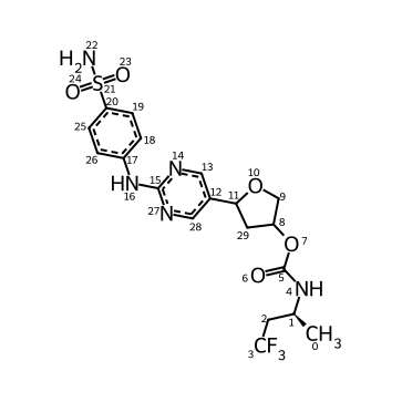 C[C@@H](CC(F)(F)F)NC(=O)OC1COC(c2cnc(Nc3ccc(S(N)(=O)=O)cc3)nc2)C1